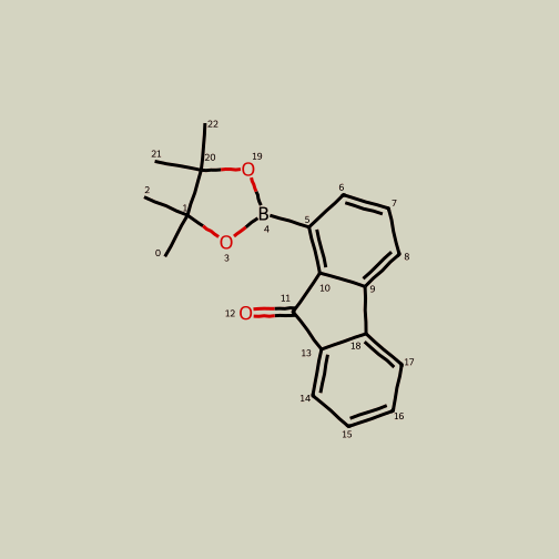 CC1(C)OB(c2cccc3c2C(=O)c2ccccc2-3)OC1(C)C